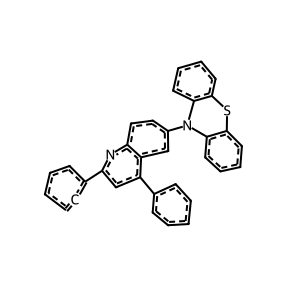 c1ccc(-c2cc(-c3ccccc3)c3cc(N4c5ccccc5Sc5ccccc54)ccc3n2)cc1